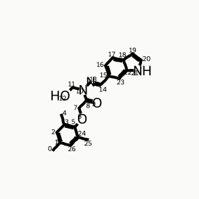 Cc1cc(C)c(OCC(=O)N(CO)N=Cc2ccc3cc[nH]c3c2)c(C)c1